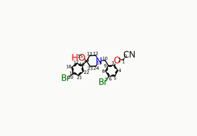 N#CCOc1ccc(Br)cc1CN1CCC(O)(c2ccc(Br)cc2)CC1